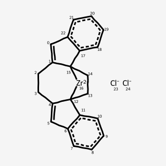 C1=C2CCC3=Cc4ccccc4[C]34CC[C]2([Zr+2]4)c2ccccc21.[Cl-].[Cl-]